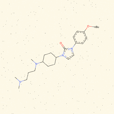 CCCCOc1ccc(-n2ccn(C3CCC(N(C)CCCN(C)C)CC3)c2=O)cc1